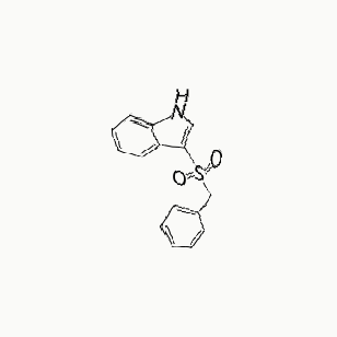 O=S(=O)(Cc1ccccc1)c1c[nH]c2ccccc12